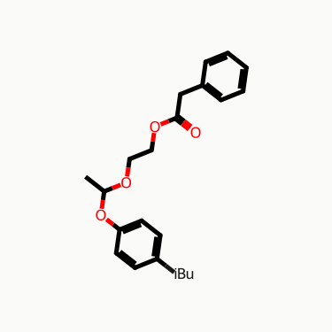 CCC(C)c1ccc(OC(C)OCCOC(=O)Cc2ccccc2)cc1